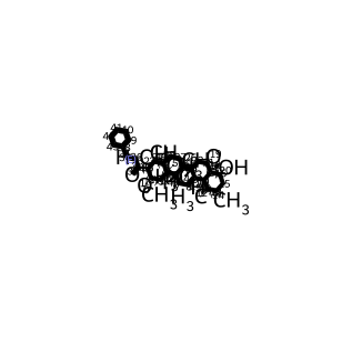 CO[C@H]1C[C@]2(C)[C@H]3CC=C4[C@@H]5[C@@H](C)[C@H](C)CC[C@]5(C(=O)O)CC[C@@]4(C)[C@]3(C)CC[C@H]2C(C)(C)[C@@H]1C(=O)/C=C/c1ccccc1